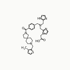 Cc1ccsc1CN1CCC2(CC1)CCN(C(=O)c1ccc(CN(Cc3ncc[nH]3)Cc3nccn3CC(=O)O)cc1)C2